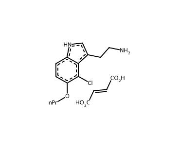 CCCOc1ccc2[nH]cc(CCN)c2c1Cl.O=C(O)C=CC(=O)O